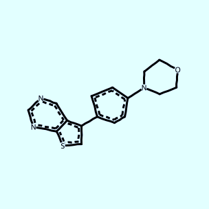 c1ncc2c(-c3ccc(N4CCOCC4)cc3)csc2n1